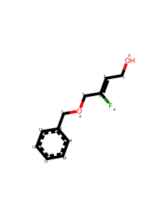 OCC=C(F)COCc1ccccc1